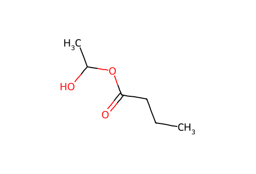 CCCC(=O)OC(C)O